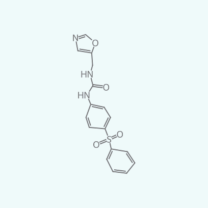 O=C(NCc1cnco1)Nc1ccc(S(=O)(=O)c2ccccc2)cc1